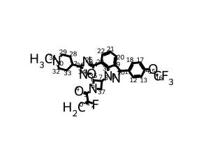 C=C(F)C(=O)N1CC(n2nc(-c3ccc(OC(F)(F)F)cc3)c3cccc(-c4nc(C5CCN(C)CC5)no4)c32)C1